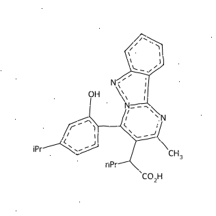 CCCC(C(=O)O)c1c(C)nc2c3ccccc3nn2c1-c1ccc(C(C)C)cc1O